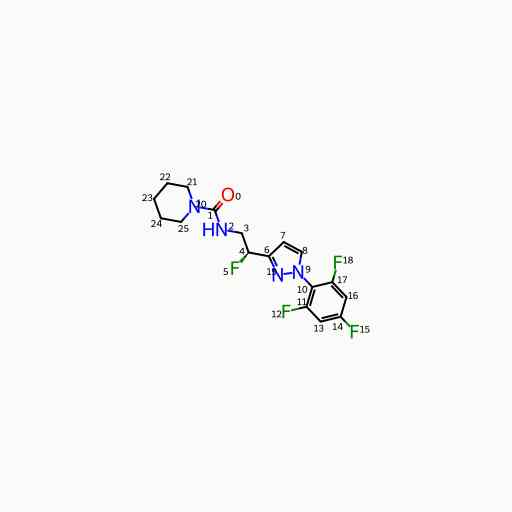 O=C(NC[C@H](F)c1ccn(-c2c(F)cc(F)cc2F)n1)N1CCCCC1